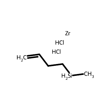 C=CCC[SiH2]C.Cl.Cl.[Zr]